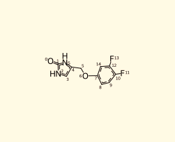 O=c1[nH]cc(COc2ccc(F)c(F)c2)[nH]1